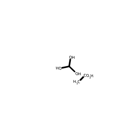 CC(=O)O.OC(O)O